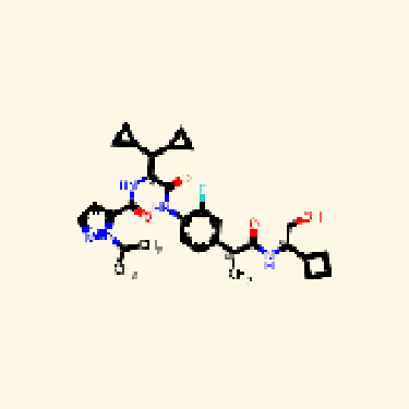 CC(C)n1nccc1C(=O)N[C@H](C(=O)Nc1ccc([C@H](C)C(=O)N[C@@H](CO)C2CCC2)cc1F)C(C1CC1)C1CC1